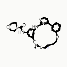 CN1C/C=C/CCOc2cccc(c2)-c2ccnc(n2)Nc2cc(cc(NC(=O)N3CCOCC3)c2)C1